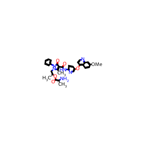 COc1ccc2c(Oc3ccc(NC(=O)c4c(C)n(C[C@@H](C)OC(=O)[C@H](C)N)n(-c5ccccc5)c4=O)nc3)ccnc2c1